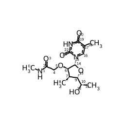 CNC(=O)CO[C@@H]1[C@H](C)[C@@H]([C@@H](C)O)O[C@H]1n1cc(C)c(=O)[nH]c1=O